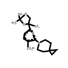 CC1(C)OCC(c2ccc(C(=O)O)c(N3CCC4(CC3)CC4)n2)(C(F)(F)F)O1